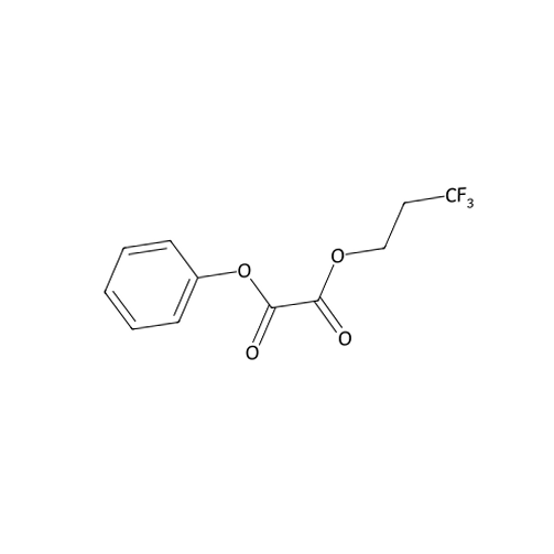 O=C(OCCC(F)(F)F)C(=O)Oc1ccccc1